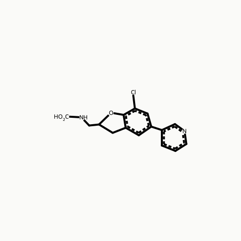 O=C(O)NCC1Cc2cc(-c3cccnc3)cc(Cl)c2O1